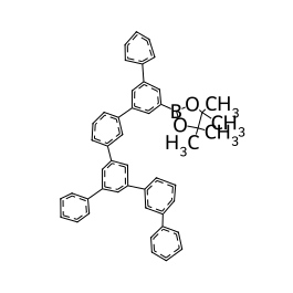 CC1(C)OB(c2cc(-c3ccccc3)cc(-c3cccc(-c4cc(-c5ccccc5)cc(-c5cccc(-c6ccccc6)c5)c4)c3)c2)OC1(C)C